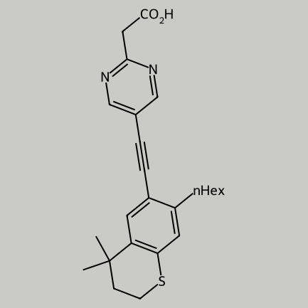 CCCCCCc1cc2c(cc1C#Cc1cnc(CC(=O)O)nc1)C(C)(C)CCS2